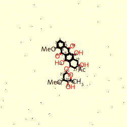 COc1cccc2c1C(=O)c1c(O)c3c(c(O)c1C2=O)C[C@@](O)(C(C)=O)C[C@@H]3OC1CC(OC)C(O)C(C)O1